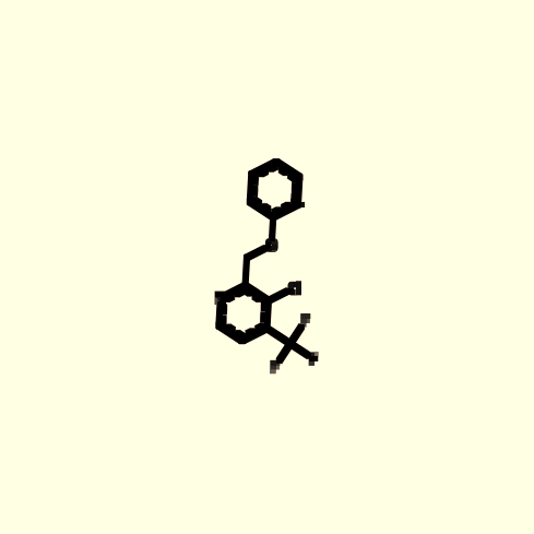 FC(F)(F)c1ccnc(COc2[c]cccc2)c1Cl